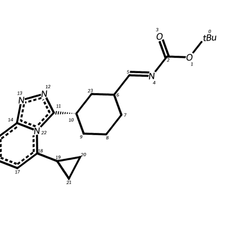 CC(C)(C)OC(=O)/N=C/C1CCC[C@H](c2nnc3cccc(C4CC4)n23)C1